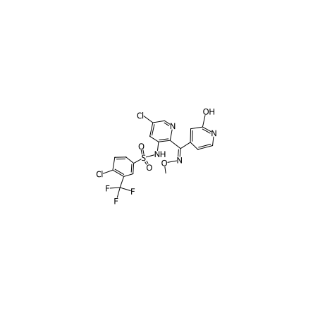 CON=C(c1ccnc(O)c1)c1ncc(Cl)cc1NS(=O)(=O)c1ccc(Cl)c(C(F)(F)F)c1